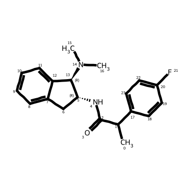 CC(C(=O)N[C@@H]1Cc2ccccc2[C@H]1N(C)C)c1ccc(F)cc1